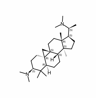 C[C@@H]([C@H]1CC[C@@]2(C)[C@@H]3CC[C@H]4C(C)(C)[C@@H](N(C)C)CC[C@@]45C[C@@]35CC[C@]12C)N(C)C